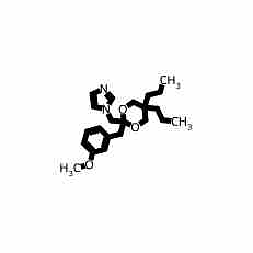 CCCC1(CCC)COC(Cc2cccc(OC)c2)(Cn2ccnc2)OC1